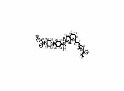 C=CC(=O)N1CC(CCN2CC=Cc3cnc(Nc4ccc(N5CCN(C(=O)COC)CC5)cc4)nc32)C1